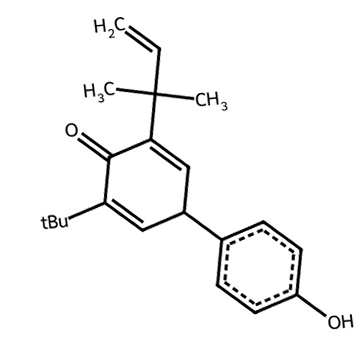 C=CC(C)(C)C1=CC(c2ccc(O)cc2)C=C(C(C)(C)C)C1=O